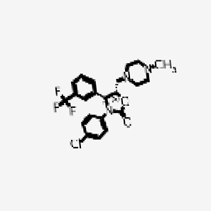 CN1CCN(C[C@@H]2OC(=O)N(c3ccc(Cl)cc3)[C@H]2c2cccc(C(F)(F)F)c2)CC1